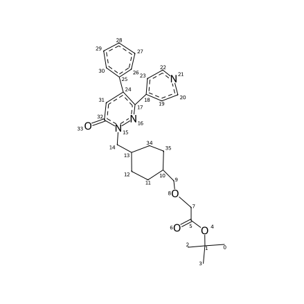 CC(C)(C)OC(=O)COCC1CCC(Cn2nc(-c3ccncc3)c(-c3ccccc3)cc2=O)CC1